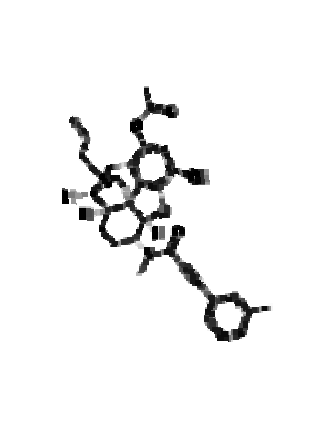 C=CCN1CC[C@]23c4c5c(OC(C)=O)cc(O)c4O[C@H]2[C@H](N(C)C(=O)C#Cc2cccc(C)c2)CC[C@H]3[C@H]1C5